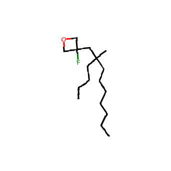 CCCCCCCC(C)(CCCC)CC1(F)COC1